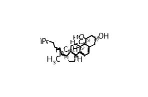 CC(C)CCC[C@@H](C)[C@H]1CC[C@H]2C3=CC=C4C[C@@H](O)C[C@H](O)[C@]4(C)[C@H]3CC[C@]12C